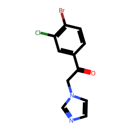 O=C(Cn1ccnc1)c1ccc(Br)c(Cl)c1